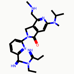 CCC(=N)N(CC)C(=N)c1cccc(N2Cc3c(cc(N(C)C(C)C)nc3CNC)C2=O)n1